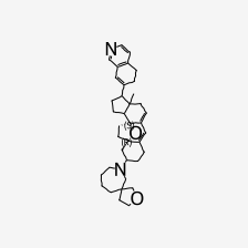 CC12CC=C3C=C4CCC(N5CCCCC6(CCOC6)C5)C[C@]45CC[C@]3(O5)C1CCC2C1=Cc2cnccc2CC1